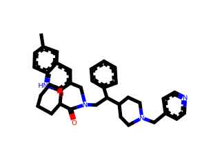 Cc1ccc2[nH]c(=O)c(CN(CC(c3ccccc3)C3CCN(Cc4ccncc4)CC3)C(=O)C3CCCCC3)cc2c1